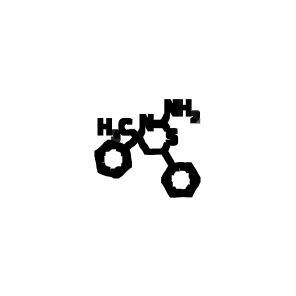 CC1(c2ccccc2)CC(c2ccccc2)SC(N)=N1